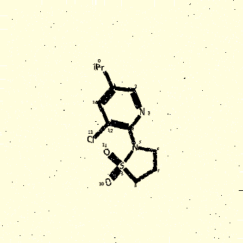 CC(C)c1cnc(N2CCCS2(=O)=O)c(Cl)c1